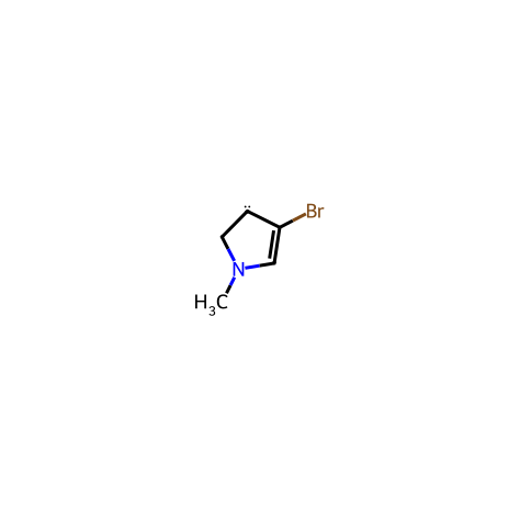 CN1C=C(Br)[C]C1